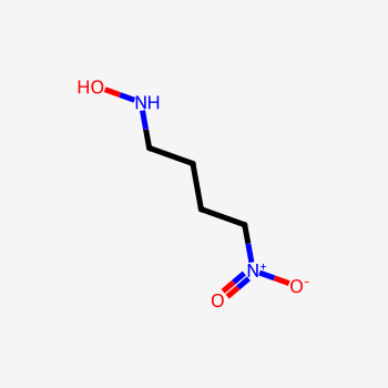 O=[N+]([O-])CCCCNO